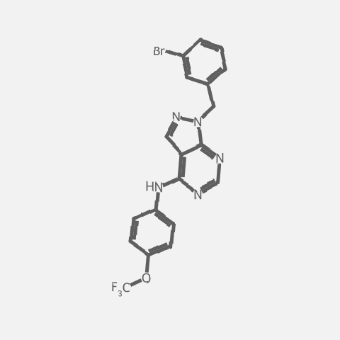 FC(F)(F)Oc1ccc(Nc2ncnc3c2cnn3Cc2cccc(Br)c2)cc1